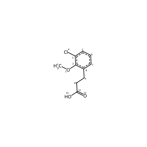 COc1c(Cl)cccc1CCC(=O)O